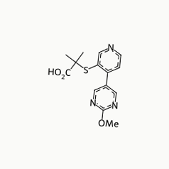 COc1ncc(-c2ccncc2SC(C)(C)C(=O)O)cn1